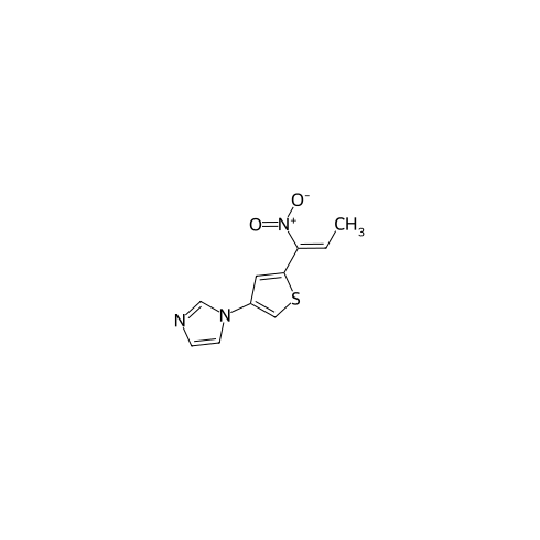 CC=C(c1cc(-n2ccnc2)cs1)[N+](=O)[O-]